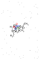 CCCCc1ccccc1-c1cccc2c1C=C(CC(C)C)[CH]2[Zr]([Cl])([Cl])([B](NC=O)NC=O)[CH]1C(CC(C)C)=Cc2c(-c3ccccc3CCCC)cccc21